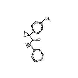 Cc1ccc(C2(C(=O)Nc3ccccc3)CC2)cc1